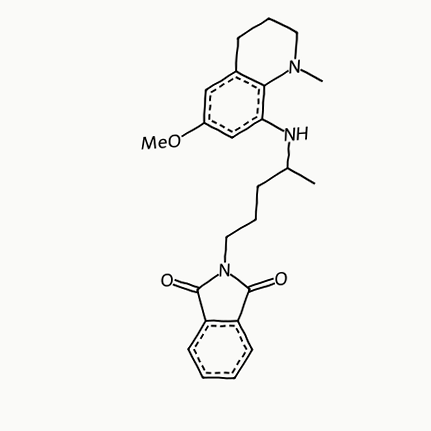 COc1cc2c(c(NC(C)CCCN3C(=O)c4ccccc4C3=O)c1)N(C)CCC2